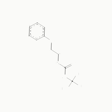 CC(C)(C)OC(=O)NCCOc1c[c]ccc1